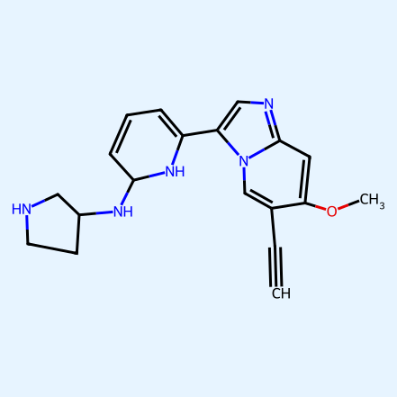 C#Cc1cn2c(C3=CC=CC(NC4CCNC4)N3)cnc2cc1OC